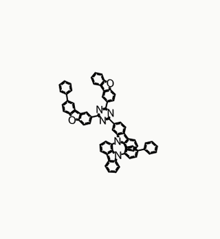 c1ccc(-c2ccc(-n3c4ccccc4c4cccc(-n5c6ccccc6c6ccc(-c7nc(-c8ccc9oc%10ccccc%10c9c8)nc(-c8ccc9oc%10ccc(-c%11ccccc%11)cc%10c9c8)n7)cc65)c43)cc2)cc1